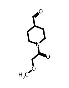 COCC(=O)N1CCC(C=O)CC1